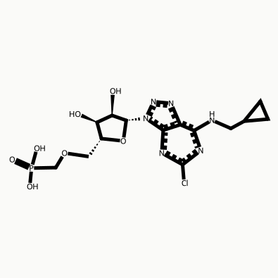 O=P(O)(O)COC[C@H]1O[C@@H](n2nnc3c(NCC4CC4)nc(Cl)nc32)[C@H](O)[C@@H]1O